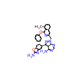 Cc1cccc2cc(CN3N=C(c4ccc5oc(N)nc5c4)C4C(N)=NC=NC43)nc(Oc3ccccc3)c12